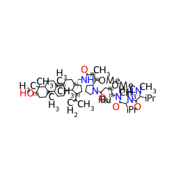 C=C(C)[C@@H]1CC[C@]2(CNC(=O)[C@H](C)[C@@H](OC)C3CCCN3C(=O)C[C@@H](OC)[C@H]([C@@H](C)CC)N(C)C(=O)C(NC(=O)C(C(C)C)N(C)C)C(C)C)CC[C@]3(C)C(CCC4[C@@]5(C)CC[C@H](O)C(C)(C)C5CC[C@]43C)C12